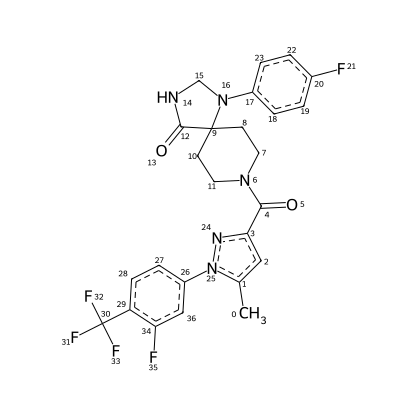 Cc1cc(C(=O)N2CCC3(CC2)C(=O)NCN3c2ccc(F)cc2)nn1-c1ccc(C(F)(F)F)c(F)c1